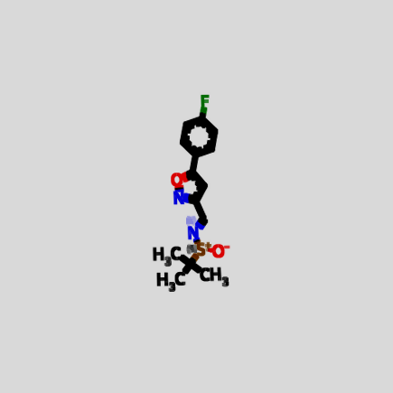 CC(C)(C)[S@@+]([O-])/N=C/c1cc(-c2ccc(F)cc2)on1